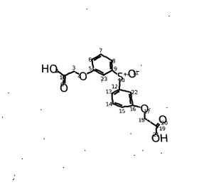 O=C(O)COc1cccc([S+]([O-])c2cccc(OCC(=O)O)c2)c1